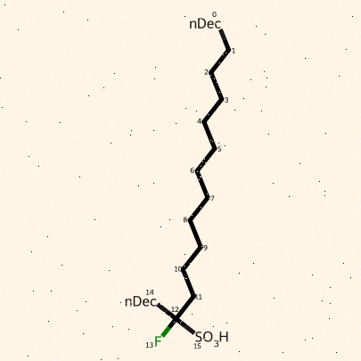 CCCCCCCCCCCCCCCCCCCCCC(F)(CCCCCCCCCC)S(=O)(=O)O